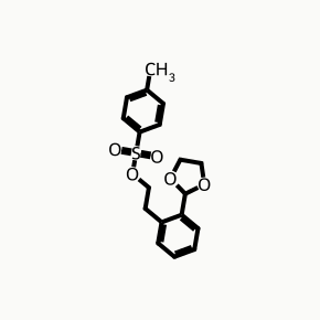 Cc1ccc(S(=O)(=O)OCCc2ccccc2C2OCCO2)cc1